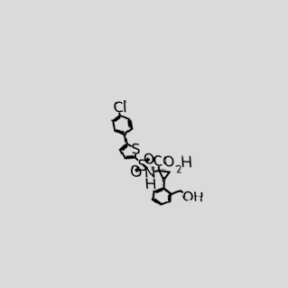 O=C(O)C1(NS(=O)(=O)c2ccc(-c3ccc(Cl)cc3)s2)CC1c1ccccc1CO